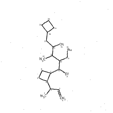 C=CC(C)C1CCC1C(CC)C(CC(C)CC)C(C)C(C#N)CC1CCC1